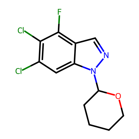 Fc1c(Cl)c(Cl)cc2c1cnn2C1CCCCO1